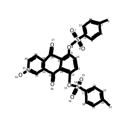 Cc1ccc(S(=O)(=O)Oc2ccc(OS(=O)(=O)c3ccc(C)cc3)c3c2C(=O)c2cc[n+]([O-])cc2C3=O)cc1